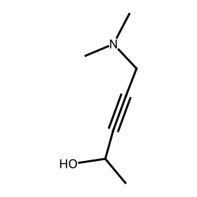 CC(O)C#CCN(C)C